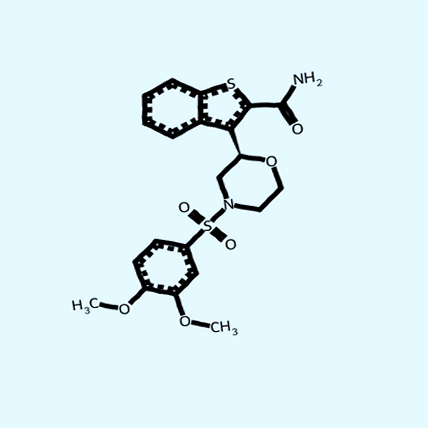 COc1ccc(S(=O)(=O)N2CCO[C@H](c3c(C(N)=O)sc4ccccc34)C2)cc1OC